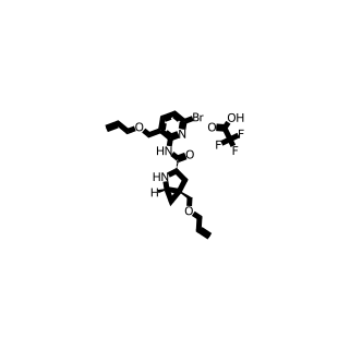 C=CCOCc1ccc(Br)nc1NC(=O)[C@@H]1C[C@]2(COCC=C)C[C@@H]2N1.O=C(O)C(F)(F)F